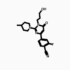 CC1CCN(c2nc(-c3ccc(C#N)c(F)c3)cc(=O)n2CCCO)CC1